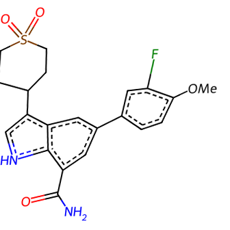 COc1ccc(-c2cc(C(N)=O)c3[nH]cc(C4CCS(=O)(=O)CC4)c3c2)cc1F